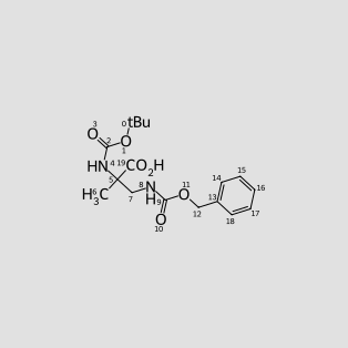 CC(C)(C)OC(=O)NC(C)(CNC(=O)OCc1ccccc1)C(=O)O